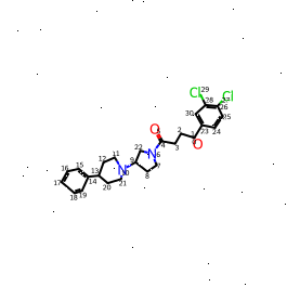 O=C(CCC(=O)N1CCC(N2CCC(c3ccccc3)CC2)C1)c1ccc(Cl)c(Cl)c1